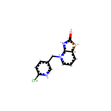 O=c1nc2n(Cc3ccc(Cl)nc3)cccc-2s1